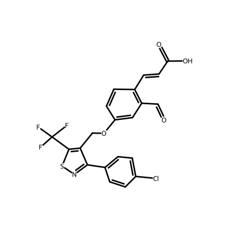 O=Cc1cc(OCc2c(-c3ccc(Cl)cc3)nsc2C(F)(F)F)ccc1/C=C/C(=O)O